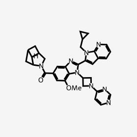 COc1cc(C(=O)N2CC3CC4CC2[C@H]43)cc2nc(-c3cc4cccnc4n3CC3CC3)n(C3CN(c4ccncn4)C3)c12